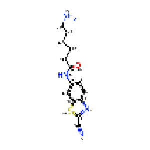 N#Cc1nc2ccc(NC(=O)CCCCCN)cc2s1